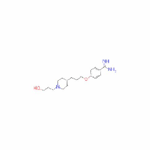 N=C(N)c1ccc(OCCCC2CCN(CCCO)CC2)cc1